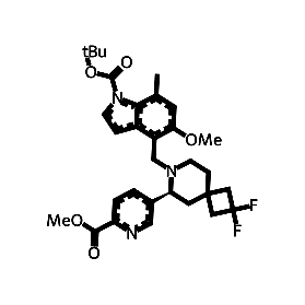 COC(=O)c1ccc([C@@H]2CC3(CCN2Cc2c(OC)cc(C)c4c2ccn4C(=O)OC(C)(C)C)CC(F)(F)C3)cn1